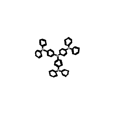 C1=CC(N(C2=CCCC=C2)c2ccc(N(c3ccc(N(C4=CCCC=C4)c4ccccc4)cc3)C3C=CC(N(c4ccccc4)c4ccccc4)=CC3)cc2)=CCC1